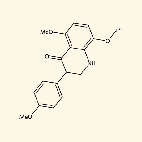 COc1ccc(C2CNc3c(OC(C)C)ccc(OC)c3C2=O)cc1